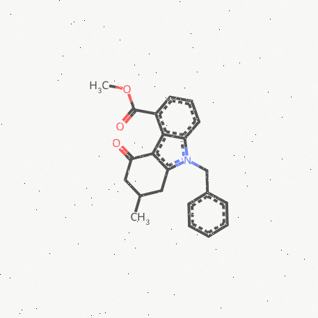 COC(=O)c1cccc2c1c1c(n2Cc2ccccc2)CC(C)CC1=O